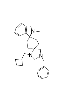 CN(C)[C@]1(c2ccccc2)CC[C@]2(CC1)CN(Cc1ccccc1)CN2CC1CCC1